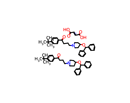 CC(C)(C)c1ccc(C(=O)CCCN2CCC(OC(c3ccccc3)c3ccccc3)CC2)cc1.CC(C)(C)c1ccc(C(=O)CCCN2CCC(OC(c3ccccc3)c3ccccc3)CC2)cc1.O=C(O)/C=C/C(=O)O